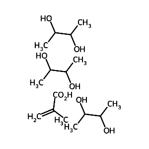 C=C(C)C(=O)O.CC(O)C(C)O.CC(O)C(C)O.CC(O)C(C)O